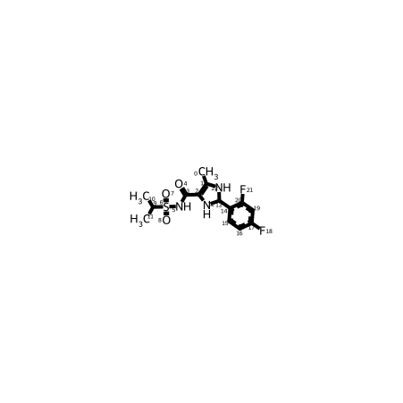 CC1=C(C(=O)NS(=O)(=O)C(C)C)NC(c2ccc(F)cc2F)N1